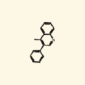 Cc1c(-c2ccccc2)cnc2ccccc12